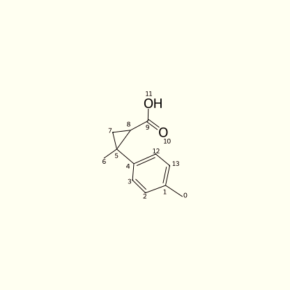 Cc1ccc(C2(C)CC2C(=O)O)cc1